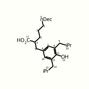 CCCCCCCCCCCCCC(Cc1cc(CC(C)C)c(O)c(CC(C)C)c1)C(=O)O